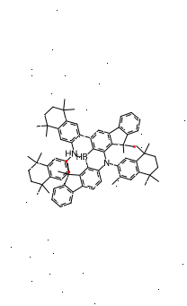 Cc1cc2c(cc1N1c3ccc4c(c3Bc3c(-c5cc6c(cc5Nc5ccc7c(c5)C(C)(C)CCC7(C)C)C(C)(C)CCC6(C)C)cc5c(c31)C(C)(C)c1ccccc1-5)C(C)(C)c1ccccc1-4)C(C)(C)CCC2(C)C